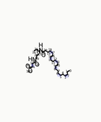 CC/C=C\C/C=C\C/C=C\C/C=C\C/C=C\C/C=C\CCC(=O)NN(CC)CCCNC(=O)/C=C/C(=O)OC